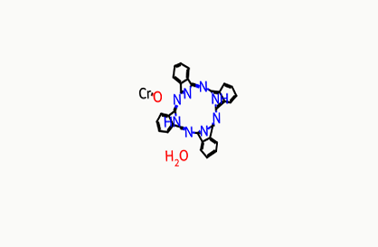 O.[O]=[Cr].c1ccc2c(c1)-c1nc-2nc2[nH]c(nc3nc(nc4[nH]c(n1)c1ccccc41)-c1ccccc1-3)c1ccccc21